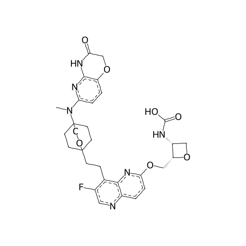 CN(c1ccc2c(n1)NC(=O)CO2)C12CCC(CCc3c(F)cnc4ccc(OC[C@H]5OC[C@H]5NC(=O)O)nc34)(CC1)OC2